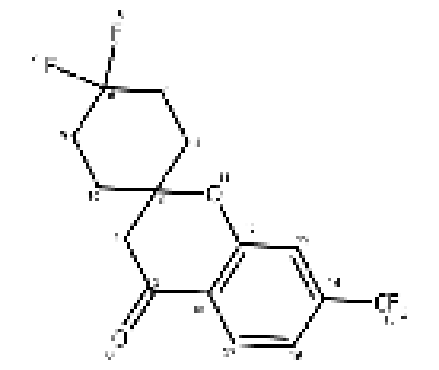 O=C1CC2(CCC(F)(F)CC2)Oc2cc(C(F)(F)F)ccc21